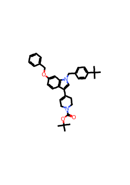 CC(C)(C)OC(=O)N1CC=C(c2cn(Cc3ccc(C(C)(C)C)cc3)c3cc(OCc4ccccc4)ccc23)CC1